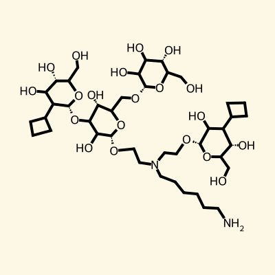 NCCCCCCN(CCO[C@H]1OC(CO[C@H]2OC(CO)[C@@H](O)C(O)C2O)[C@@H](O)C(O[C@H]2OC(CO)[C@@H](O)C(O)C2C2CCC2)C1O)CCO[C@H]1OC(CO)[C@@H](O)C(C2CCC2)C1O